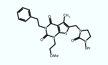 CCCN1CCN(Cc2sc3c(c2C)c(=O)n(CCc2ccccc2)c(=O)n3CCOC)C1=O